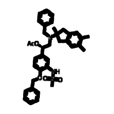 CC(=O)O[C@@H](CN(Cc1ccccc1)C1(C)Cc2cc(C)c(C)cc2C1)c1ccc(OCc2ccccc2)c(NS(C)(=O)=O)c1